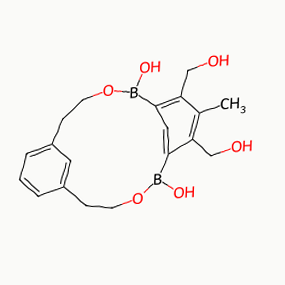 Cc1c(CO)c2cc(c1CO)B(O)OCCc1cccc(c1)CCOB2O